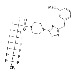 COc1cccc(Cc2nsc(N3CCN(S(=O)(=O)C(F)(F)C(F)(F)C(F)(F)C(F)(F)C(F)(F)C(F)(F)C(F)(F)C(F)(F)F)CC3)n2)c1